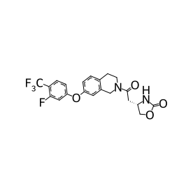 O=C1N[C@@H](CC(=O)N2CCc3ccc(Oc4ccc(C(F)(F)F)c(F)c4)cc3C2)CO1